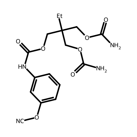 CCC(COC(N)=O)(COC(N)=O)COC(=O)Nc1cccc(OC#N)c1